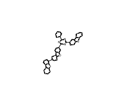 c1ccc(-c2nc(-c3ccc4c(c3)oc3ccc(-c5cccc6c5sc5ccccc56)cc34)nc(-c3ccc4sc5ccccc5c4c3)n2)cc1